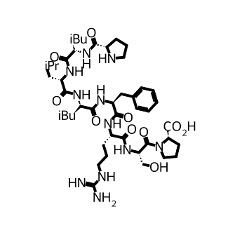 CC[C@H](C)[C@H](NC(=O)[C@H](CC(C)C)NC(=O)[C@@H](NC(=O)[C@@H]1CCCN1)[C@@H](C)CC)C(=O)N[C@@H](Cc1ccccc1)C(=O)N[C@@H](CCCNC(=N)N)C(=O)N[C@@H](CO)C(=O)N1CCC[C@H]1C(=O)O